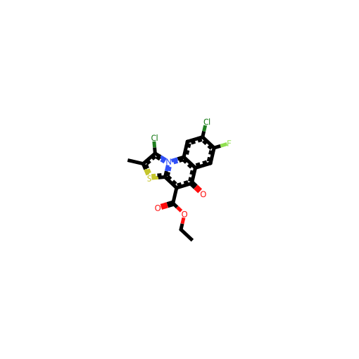 CCOC(=O)c1c(=O)c2cc(F)c(Cl)cc2n2c(Cl)c(C)sc12